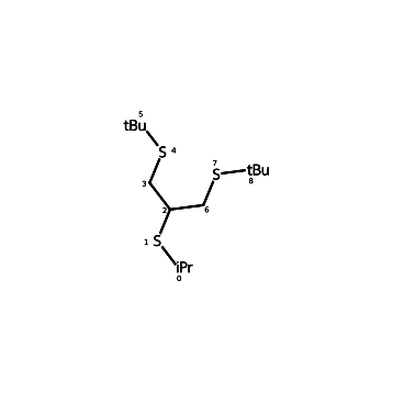 CC(C)SC(CSC(C)(C)C)CSC(C)(C)C